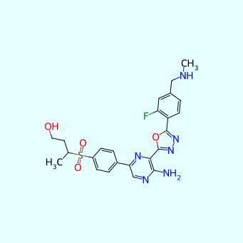 CNCc1ccc(-c2nnc(-c3nc(-c4ccc(S(=O)(=O)C(C)CCO)cc4)cnc3N)o2)c(F)c1